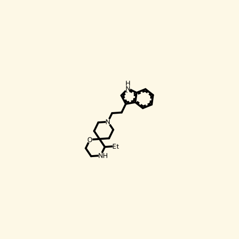 CCC1NCCOC12CCN(CCc1c[nH]c3ccccc13)CC2